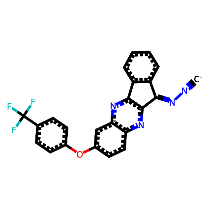 [C-]#[N+]/N=C1\c2ccccc2-c2nc3cc(Oc4ccc(C(F)(F)F)cc4)ccc3nc21